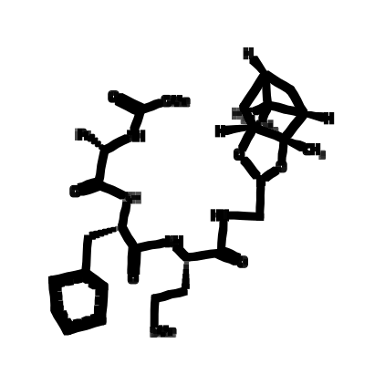 COC(=O)N[C@H](C(=O)N[C@@H](Cc1ccccc1)C(=O)N[C@@H](CCSC)C(=O)NCB1O[C@@H]2C[C@@H]3C[C@@H](C3(C)C)[C@]2(C)O1)C(C)C